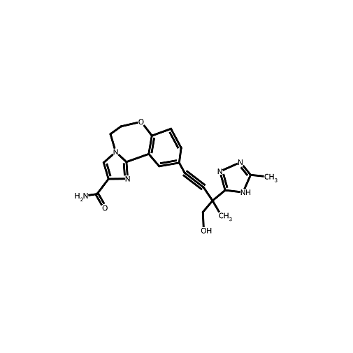 Cc1nnc(C(C)(C#Cc2ccc3c(c2)-c2nc(C(N)=O)cn2CCO3)CO)[nH]1